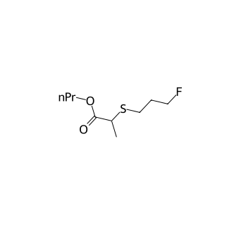 CCCOC(=O)C(C)SCCCF